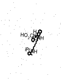 Cc1cccc(C(C)C)c1NCCCCCCCCCNc1cc2ccccc2cc1C(=O)NC(C(=O)O)c1ccccc1